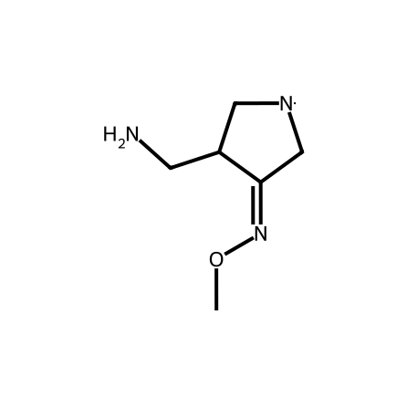 CO/N=C1/C[N]CC1CN